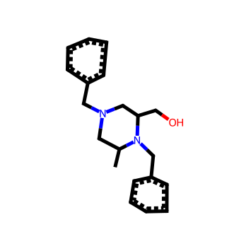 CC1CN(Cc2ccccc2)CC(CO)N1Cc1ccccc1